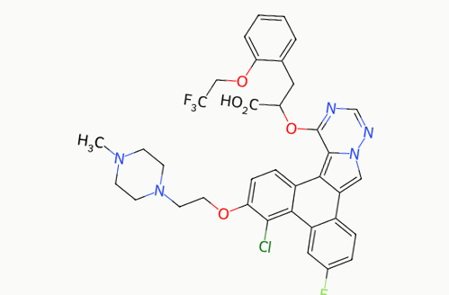 CN1CCN(CCOc2ccc3c(c2Cl)c2cc(F)ccc2c2cn4ncnc(OC(Cc5ccccc5OCC(F)(F)F)C(=O)O)c4c23)CC1